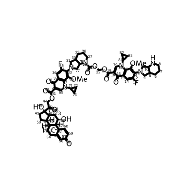 COc1c(N2CC3CCCNC3C2)c(F)cc2c(=O)c(C(=O)OCOC(=O)N3CCCC4CN(c5c(F)cc6c(=O)c(C(=O)OCC(=O)[C@@]7(O)CC[C@H]8[C@@H]9CCC%10=CC(=O)C=C[C@]%10(C)[C@H]9[C@@H](O)C[C@@]87C)cn(C7CC7)c6c5OC)CC43)cn(C3CC3)c12